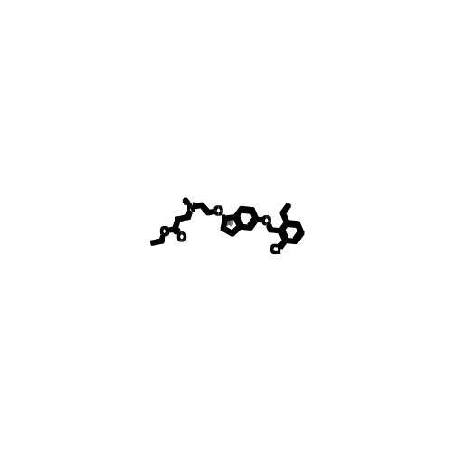 CCOC(=O)CCN(C)CCO[C@H]1CCc2cc(OCc3c(Cl)cccc3CC)ccc21